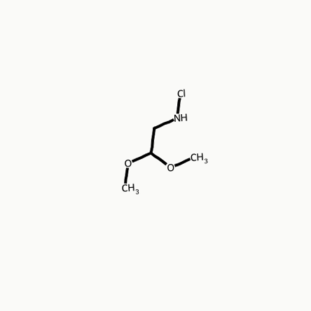 COC(CNCl)OC